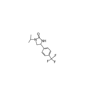 CC(C)N1CC(c2ccc(C(F)(F)F)cc2)NC1=O